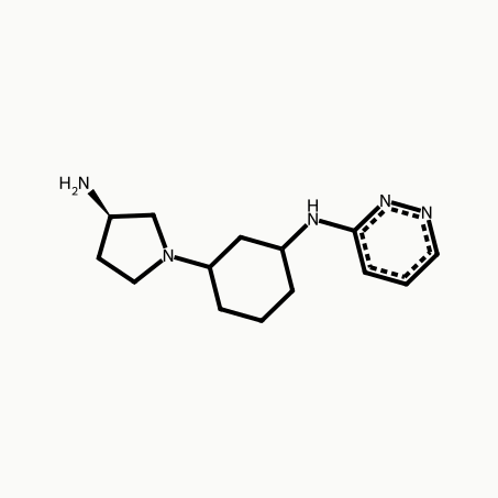 N[C@@H]1CCN(C2CCCC(Nc3cccnn3)C2)C1